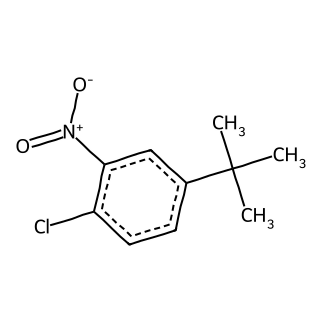 CC(C)(C)c1ccc(Cl)c([N+](=O)[O-])c1